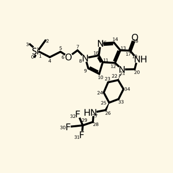 C[Si](C)(C)CCOCn1ccc2c3c(cnc21)C(=O)NCN3[C@H]1CC[C@H](CNCC(F)(F)F)CC1